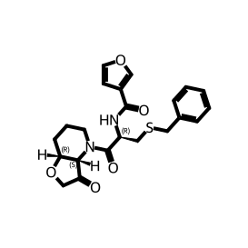 O=C(N[C@@H](CSCc1ccccc1)C(=O)N1CCC[C@H]2OCC(=O)[C@H]21)c1ccoc1